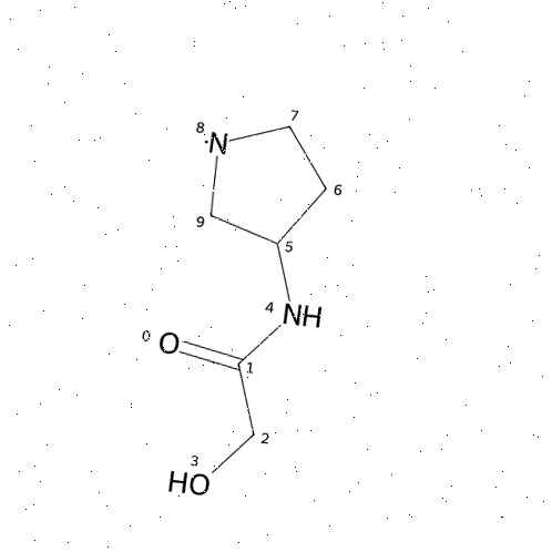 O=C(CO)NC1CC[N]C1